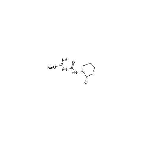 COC(=N)NC(=O)NC1CCCCC1Cl